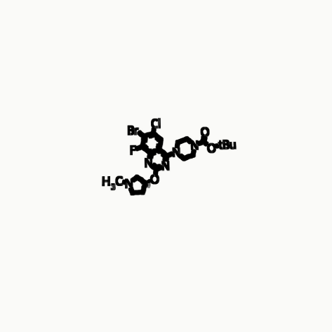 CN1CC[C@H](Oc2nc(N3CCN(C(=O)OC(C)(C)C)CC3)c3cc(Cl)c(Br)c(F)c3n2)C1